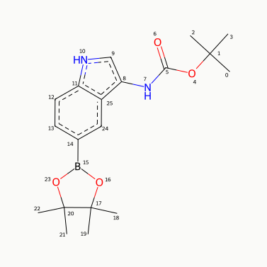 CC(C)(C)OC(=O)Nc1c[nH]c2ccc(B3OC(C)(C)C(C)(C)O3)cc12